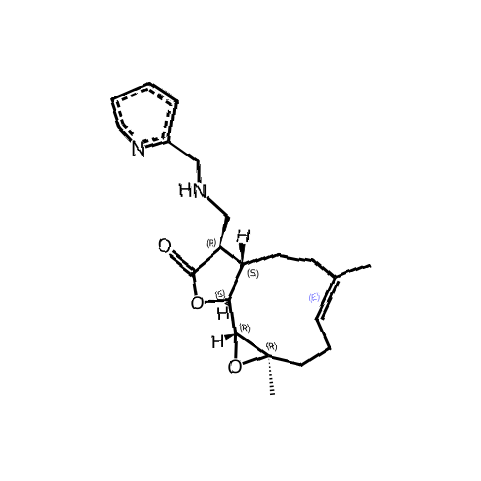 C/C1=C\CC[C@@]2(C)O[C@@H]2[C@H]2OC(=O)[C@@H](CNCc3ccccn3)[C@@H]2CC1